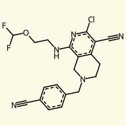 N#Cc1ccc(CN2CCc3c(C#N)c(Cl)nc(NCCOC(F)F)c3C2)cc1